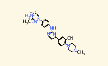 C=CN(/N=C(/C)N)c1ccc(Nc2nccc(-c3ccc(N4CCN(C)CC4)c(C#N)c3)n2)cc1